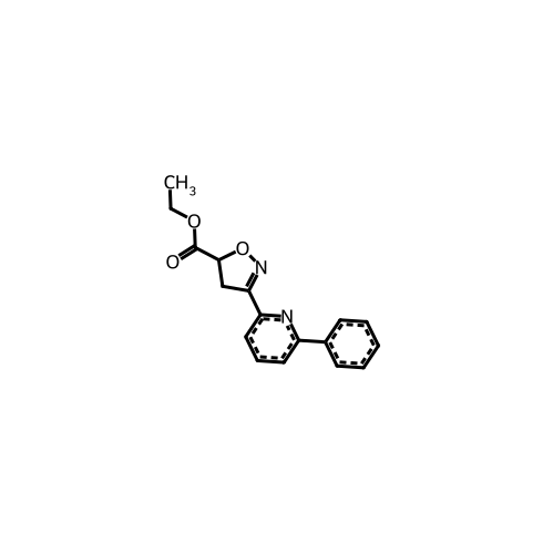 CCOC(=O)C1CC(c2cccc(-c3ccccc3)n2)=NO1